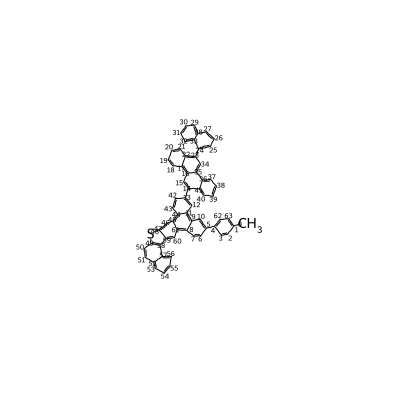 Cc1ccc(-c2ccc3c(c2)c2cc(-c4cc5c6ccccc6c(-c6cccc7ccccc67)cc5c5ccccc45)ccc2c2cc4sc5ccc6ccccc6c5c4cc32)cc1